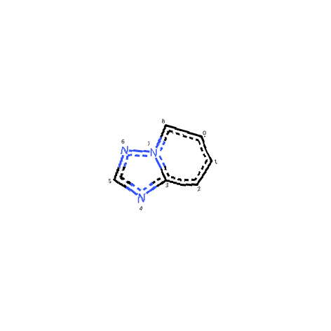 [c]1ccc2ncnn2c1